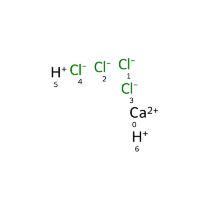 [Ca+2].[Cl-].[Cl-].[Cl-].[Cl-].[H+].[H+]